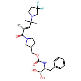 CC(C)(C=C(C#N)C(=O)N1CCC(COC(=O)N[C@@H](Cc2ccccc2)B(O)O)C1)N1CCC(F)(F)C1